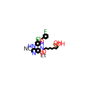 CCOc1cc2ncc(C#N)c(Nc3ccc(OCc4cccc(F)c4)c(Cl)c3)c2cc1NC(=O)CCCCC1CCS(O)(O)S1